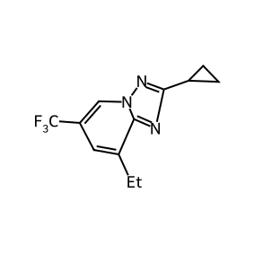 CCc1cc(C(F)(F)F)cn2nc(C3CC3)nc12